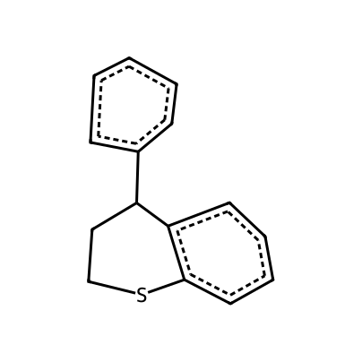 c1ccc(C2CCSc3ccccc32)cc1